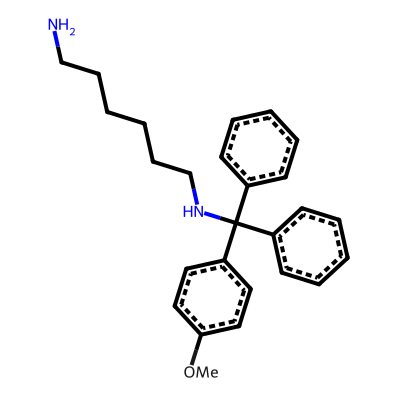 COc1ccc(C(NCCCCCCN)(c2ccccc2)c2ccccc2)cc1